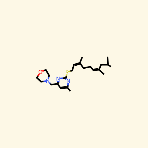 CC(=CCSc1nc(C)cc(CN2CCOCC2)n1)CCC=C(C)CC(C)C